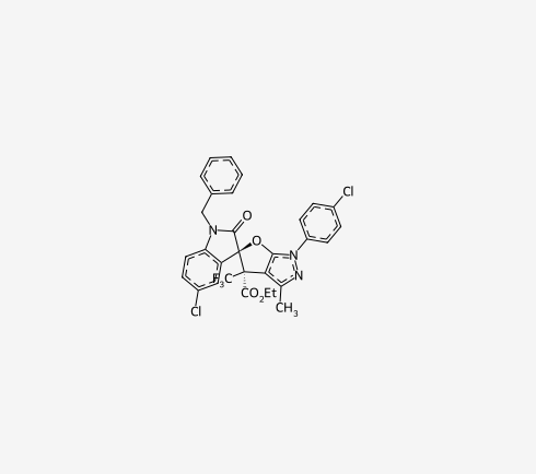 CCOC(=O)[C@@]1(C(F)(F)F)c2c(C)nn(-c3ccc(Cl)cc3)c2O[C@@]12C(=O)N(Cc1ccccc1)c1ccc(Cl)cc12